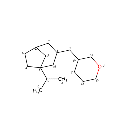 CC(C)C12CCC(CC(CC3CCCOC3)C1)C2